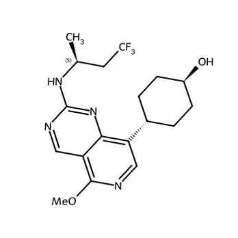 COc1ncc([C@H]2CC[C@H](O)CC2)c2nc(N[C@@H](C)CC(F)(F)F)ncc12